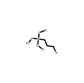 CCO[Si](CCC[Si])(OCC)OCC